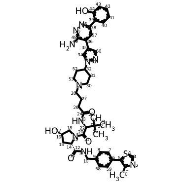 Cc1ncsc1-c1ccc(CNC(=O)[C@@H]2C[C@@H](O)CN2C(=O)[C@@H](NC(=O)CCCN2CCC(n3cc(-c4cc(-c5ccccc5O)nnc4N)cn3)CC2)C(C)(C)C)cc1